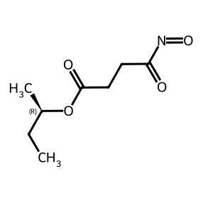 CC[C@@H](C)OC(=O)CCC(=O)N=O